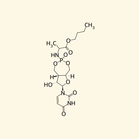 CCCCOC(=O)C(C)NP1(=O)OC[C@H]2[C@@H](O)[C@H](n3ccc(=O)[nH]c3=O)O[C@@H]2CO1